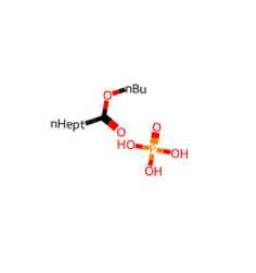 CCCCCCCC(=O)OCCCC.O=P(O)(O)O